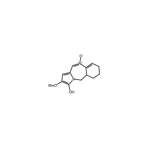 COc1cc2n(c1O)CC1CCCC=C1[N+]([O-])=C2